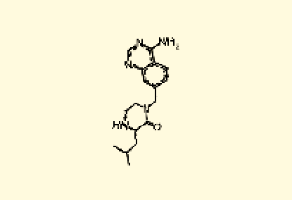 CC(C)CC1NCCN(Cc2ccc3c(N)ncnc3c2)C1=O